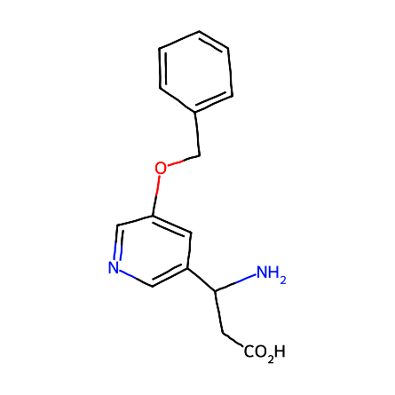 NC(CC(=O)O)c1cncc(OCc2ccccc2)c1